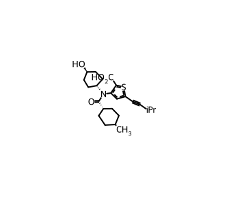 CC(C)C#Cc1cc(N(C(=O)[C@H]2CC[C@H](C)CC2)[C@H]2CC[C@H](O)CC2)c(C(=O)O)s1